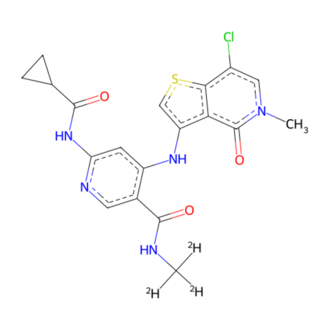 [2H]C([2H])([2H])NC(=O)c1cnc(NC(=O)C2CC2)cc1Nc1csc2c(Cl)cn(C)c(=O)c12